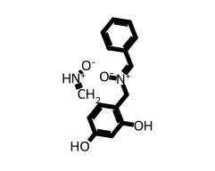 C=[NH+][O-].[O-][N+](=Cc1ccccc1)Cc1ccc(O)cc1O